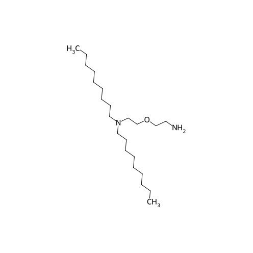 CCCCCCCCCN(CCCCCCCCC)CCOCCN